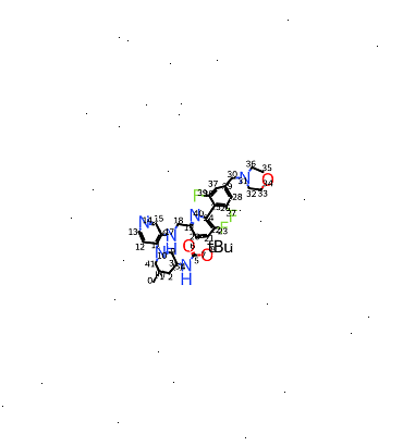 C[C@@H]1C[C@H](NC(=O)OC(C)(C)C)CN(c2ccncc2NCc2ccc(F)c(-c3c(F)cc(CN4CCOCC4)cc3F)n2)C1